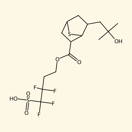 CC(C)(O)CC1CC2CC(C(=O)OCCC(F)(F)C(F)(F)S(=O)(=O)O)C1S2